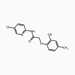 Cc1ccc(OCC(=O)Nc2ccc(Cl)cn2)c(C#N)c1